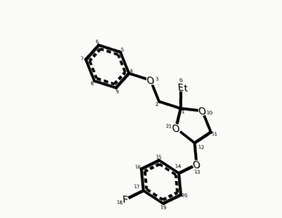 CCC1(COc2ccccc2)OCC(Oc2ccc(F)cc2)O1